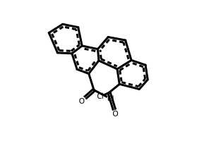 O=C(Cl)c1cccc2ccc3c4ccccc4cc(C(=O)Cl)c3c12